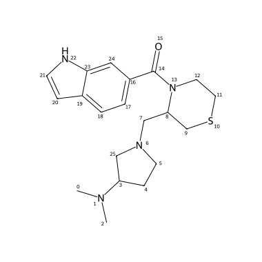 CN(C)C1CCN(CC2CSCCN2C(=O)c2ccc3cc[nH]c3c2)C1